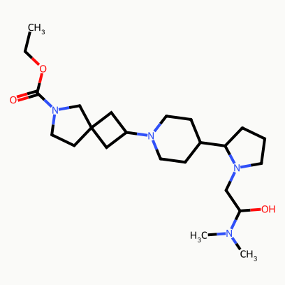 CCOC(=O)N1CCC2(CC(N3CCC(C4CCCN4CC(O)N(C)C)CC3)C2)C1